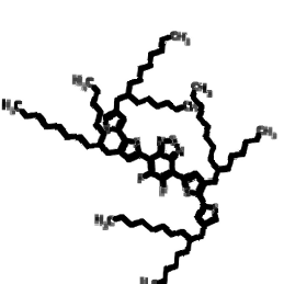 CCCCCCCCC(CCCCCC)Cc1csc(-c2sc(-c3c(F)c(F)c(-c4cc(CC(CCCCCC)CCCCCCCC)c(-c5cc(CC(CCCCCC)CCCCCCCC)cs5)s4)c4nsnc34)cc2CC(CCCCCC)CCCCCCCC)c1